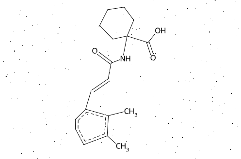 Cc1cccc(C=CC(=O)NC2(C(=O)O)CCCCC2)c1C